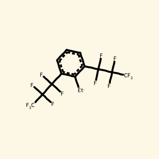 C[CH]c1c(C(F)(F)C(F)(F)C(F)(F)F)cccc1C(F)(F)C(F)(F)C(F)(F)F